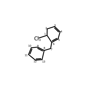 ClC1CC=CC=C1Cc1ccccc1